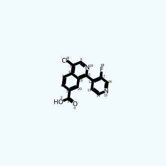 O=C(O)c1ccc2c(Cl)cnc(-c3ccncc3F)c2c1